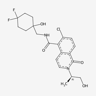 C[C@H](CO)n1ccc2c(C(=O)NCC3(O)CCC(F)(F)CC3)c(Cl)ccc2c1=O